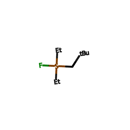 CCS(F)(CC)CC(C)(C)C